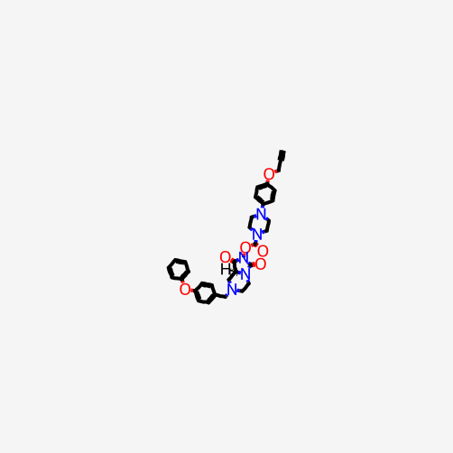 C#CCOc1ccc(N2CCN(C(=O)ON3C(=O)[C@@H]4CN(Cc5ccc(Oc6ccccc6)cc5)CCN4C3=O)CC2)cc1